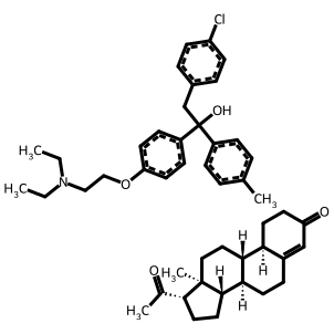 CC(=O)[C@H]1CC[C@H]2[C@@H]3CCC4=CC(=O)CC[C@@H]4[C@H]3CC[C@]12C.CCN(CC)CCOc1ccc(C(O)(Cc2ccc(Cl)cc2)c2ccc(C)cc2)cc1